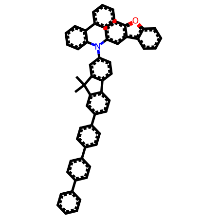 CC1(C)c2cc(-c3ccc(-c4ccc(-c5ccccc5)cc4)cc3)ccc2-c2ccc(N(c3ccc4oc5ccccc5c4c3)c3ccccc3-c3ccccc3)cc21